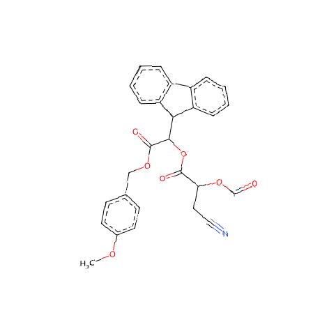 COc1ccc(COC(=O)C(OC(=O)C(CC#N)O[C]=O)C2c3ccccc3-c3ccccc32)cc1